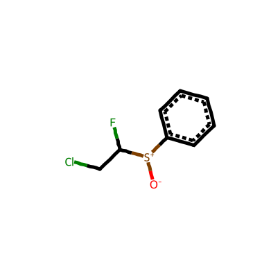 [O-][S+](c1ccccc1)C(F)CCl